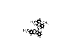 Cc1ccc(C[C@@H](CNC(=O)c2ncccc2C)n2c(=N)n(Cc3ccc(C)cc3)c3ccccc32)cc1